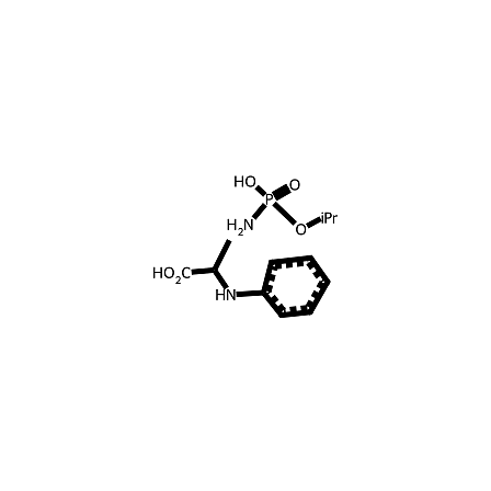 CC(C)OP(N)(=O)O.CC(Nc1ccccc1)C(=O)O